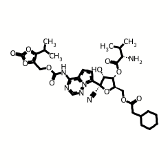 CC(C)c1oc(=O)oc1COC(=O)Nc1ncnn2c([C@]3(C#N)O[C@H](COC(=O)CC4CCCCC4)[C@@H](OC(=O)[C@@H](N)C(C)C)[C@H]3O)ccc12